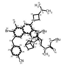 CN(CCc1nc2c(N3CC(N(C)C)C3)nc3c(F)c(Br)c(Cc4ccc(C#N)cc4)cc3c2n1C1C2CC1N(C(=O)OC(C)(C)C)C2)C(=O)OC(C)(C)C